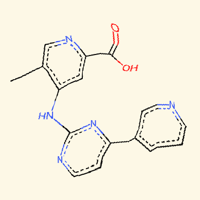 Cc1cnc(C(=O)O)cc1Nc1nccc(-c2cccnc2)n1